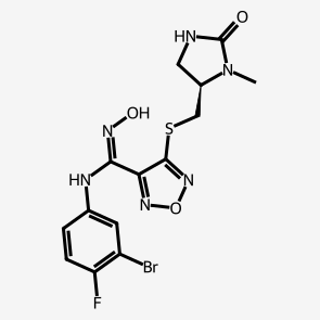 CN1C(=O)NC[C@@H]1CSc1nonc1/C(=N\O)Nc1ccc(F)c(Br)c1